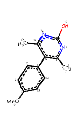 COc1ccc(-c2c(C)nc(O)nc2C)cc1